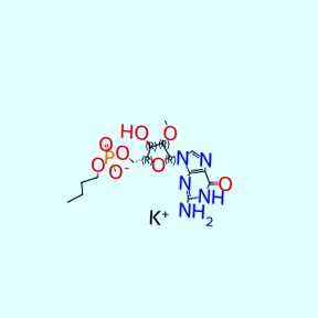 CCCCOP(=O)([O-])OC[C@H]1O[C@@H](n2cnc3c(=O)[nH]c(N)nc32)[C@H](OC)[C@@H]1O.[K+]